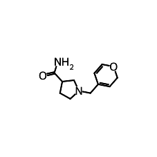 NC(=O)C1CCN(CC2=CCOC=C2)C1